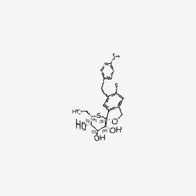 CSc1ccc(Cc2cc3c(cc2F)CO[C@]32S[C@H](CO)[C@@H](O)[C@H](O)[C@H]2O)cc1